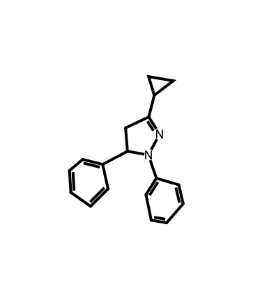 c1ccc(C2CC(C3CC3)=NN2c2ccccc2)cc1